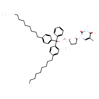 CCCCCCCCCCCCCCCCCCc1ccc(C(OC[C@H]2O[C@@H](n3cc(C)c(=O)[nH]c3=O)C[C@@H]2O)(c2ccccc2)c2ccc(CCCCCCCCCCCCCCCCCC)cc2)cc1